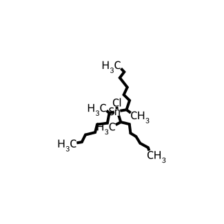 CCCCCC[CH](C)[Sn]([Cl])([CH](C)CCCCCC)[CH](C)CCCCCC